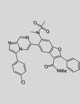 CNC(=O)c1c(-c2ccc(F)cc2)oc2cc(N(C)S(C)(=O)=O)c(-c3cn4c(-c5ccc(Cl)cc5)cnc4cn3)cc12